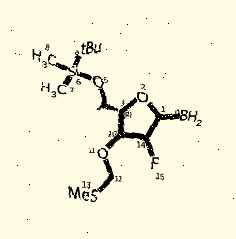 BC1O[C@H](CO[Si](C)(C)C(C)(C)C)C(OCSC)C1F